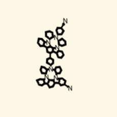 N#Cc1ccc(-n2c3ccccc3n3c4ccccc4c4cc(-c5ccc(-n6c7ccccc7n7c8ccccc8c8ccc9c%10cc(C#N)ccc%10n(c%10ccccc%106)c9c87)cc5)c5c6ccccc6n(c6ccccc62)c5c43)cc1